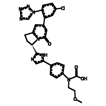 COCCN(C(=O)O)c1ccc(-c2cnc([C@@H]3CCc4cc(-c5cc(Cl)ccc5-n5cnnn5)cc(=O)n43)[nH]2)cc1